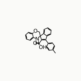 Cc1ccc(C2=C(C(=O)O)C3(COc4ccccc4N3)c3ccccc32)cc1